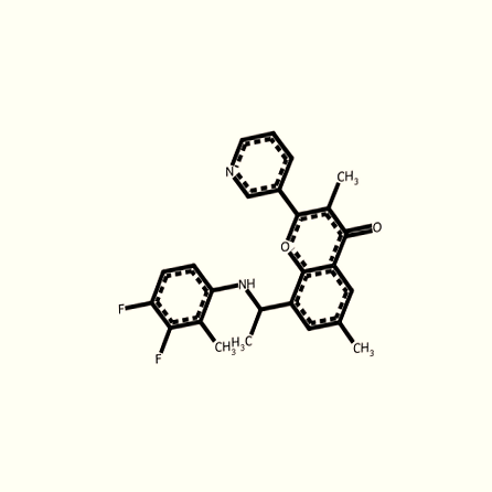 Cc1cc(C(C)Nc2ccc(F)c(F)c2C)c2oc(-c3cccnc3)c(C)c(=O)c2c1